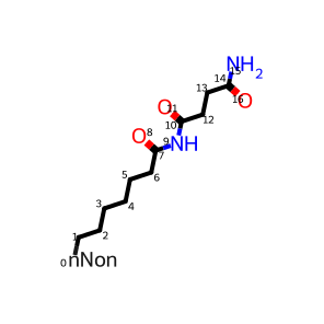 CCCCCCCCCCCCCCCC(=O)NC(=O)CCC(N)=O